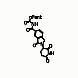 CCCCCC(=O)NC(=O)c1ccc2c(c1)C(=O)N(C1CCC(=O)NC1=O)C2